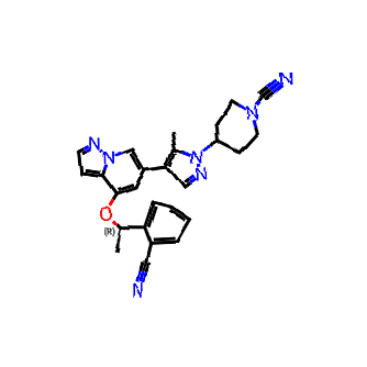 Cc1c(-c2cc(O[C@H](C)c3ccccc3C#N)c3ccnn3c2)cnn1C1CCN(C#N)CC1